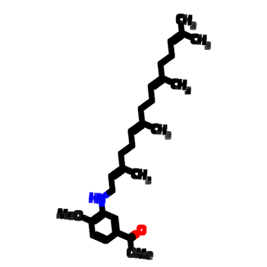 COC(=O)c1ccc(OC)c(NC/C=C(\C)CC/C=C(\C)CC/C=C(\C)CCC=C(C)C)c1